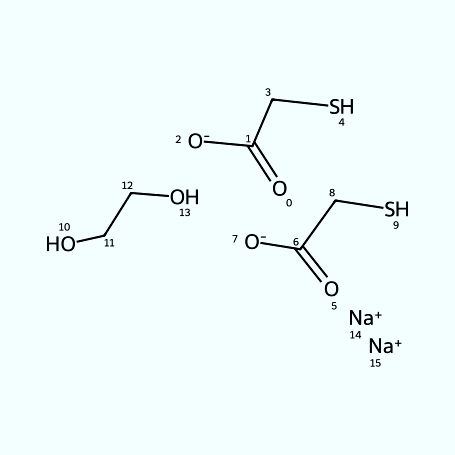 O=C([O-])CS.O=C([O-])CS.OCCO.[Na+].[Na+]